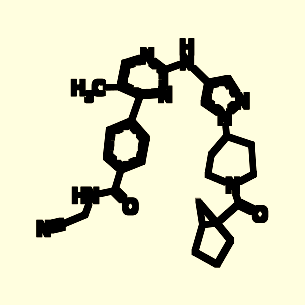 Cc1cnc(Nc2cnn(C3CCN(C(=O)C45CCCC4C5)CC3)c2)nc1-c1ccc(C(=O)NCC#N)cc1